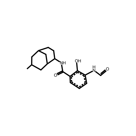 CC1CC2CCC(NC(=O)c3cccc(NC=O)c3O)C(C1)C2